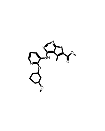 COC(=O)c1sc2ncnc(Nc3cccnc3OC3CCCC(OC)C3)c2c1C